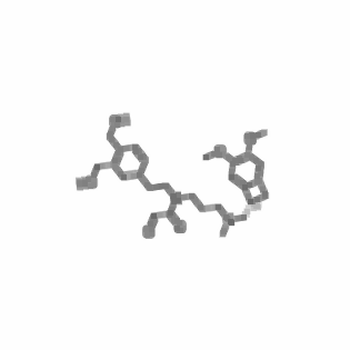 COc1cc2c(cc1OC)[C@@H](CN(C)CCCN(CCc1ccc(CO)c(CO)c1)C(=O)C=O)C2